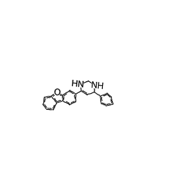 C1=C(c2ccc3c(c2)oc2ccccc23)NCNC1c1ccccc1